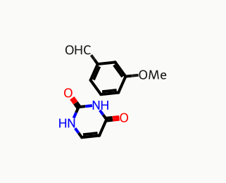 COc1cccc(C=O)c1.O=c1cc[nH]c(=O)[nH]1